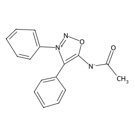 CC(=O)[N-]c1on[n+](-c2ccccc2)c1-c1ccccc1